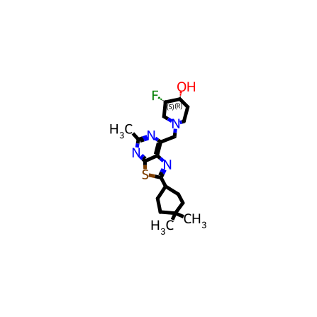 Cc1nc(CN2CC[C@@H](O)[C@@H](F)C2)c2nc(C3CCC(C)(C)CC3)sc2n1